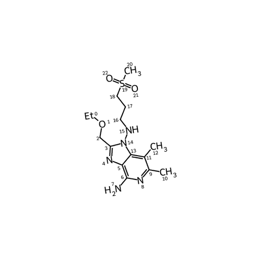 CCOCc1nc2c(N)nc(C)c(C)c2n1NCCCS(C)(=O)=O